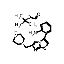 CC(C)(C)OC=O.Nc1ccccc1-c1csc2nc(CN3CCNCC3)cn12